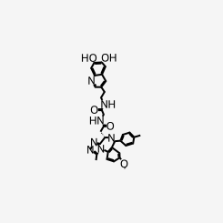 COc1ccc2c(c1)C(c1ccc(C)cc1)=N[C@@H](CC(=O)NCC(=O)NCCc1cnc3cc(O)c(O)cc3c1)c1nnc(C)n1-2